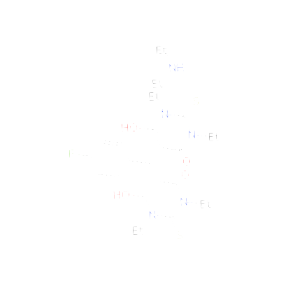 CCNCC.CCn1c(O)c(C(c2ccc(F)cc2)c2c(O)n(CC)c(=S)n(CC)c2=O)c(=O)n(CC)c1=S